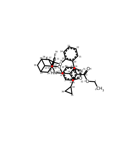 CCOC(=O)c1ccc(NC(=O)C2C3CC(OCc4c(-c5ccccc5OC(F)(F)F)noc4C4CC4)CC2C3)cc1